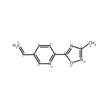 C=Cc1ccc(-c2nc(C)no2)nc1